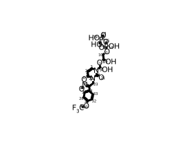 O=c1ccn([C@@H](O)OC(O)COP(=O)(O)OP(=O)(O)O)c(=O)n1Cc1noc2cc(OC(F)(F)F)ccc12